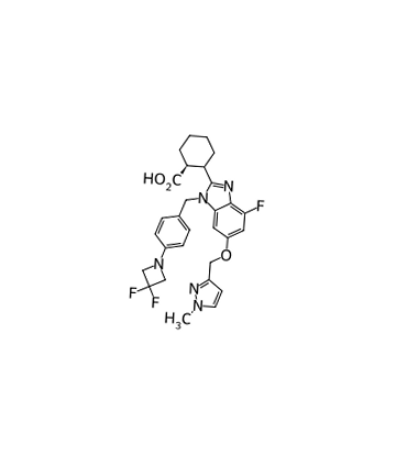 Cn1ccc(COc2cc(F)c3nc(C4CCCC[C@@H]4C(=O)O)n(Cc4ccc(N5CC(F)(F)C5)cc4)c3c2)n1